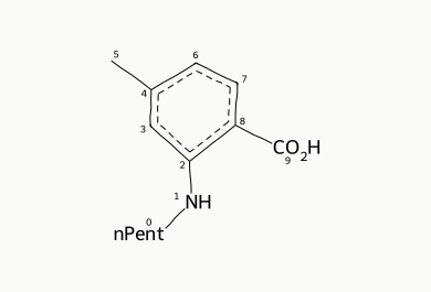 CCCCCNc1cc(C)ccc1C(=O)O